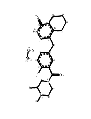 CC1CN(C(=O)c2cc(Cc3n[nH]c(=O)c4c3CCCC4)ccc2F)CCN1C.NC=O